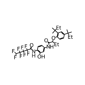 CCC(Oc1ccc(C(C)(C)CC)cc1C(C)(C)CC)C(=O)Nc1ccc(NC(=O)C(F)(F)C(F)(F)C(F)(F)C(F)F)c(O)c1